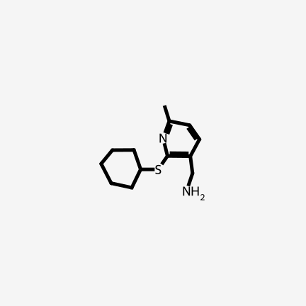 Cc1ccc(CN)c(SC2CCCCC2)n1